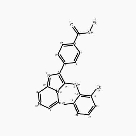 CCNC(=O)c1ccc(-c2nc3cnccn3c2Nc2c(C)cccc2CC)cc1